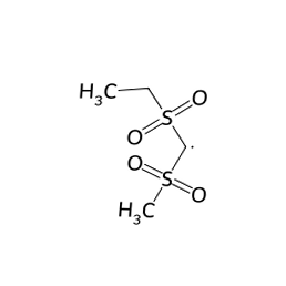 CCS(=O)(=O)[CH]S(C)(=O)=O